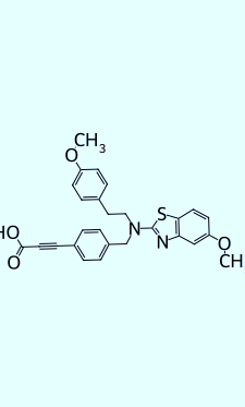 COc1ccc(CCN(Cc2ccc(C#CC(=O)O)cc2)c2nc3cc(OC)ccc3s2)cc1